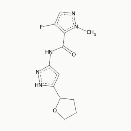 Cn1ncc(F)c1C(=O)Nc1cc(C2CCCO2)[nH]n1